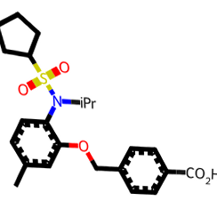 Cc1ccc(N(C(C)C)S(=O)(=O)C2CCCC2)c(OCc2ccc(C(=O)O)cc2)c1